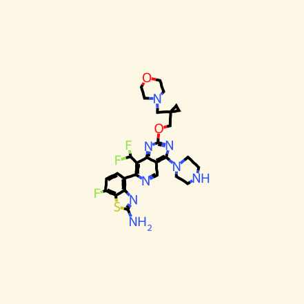 Nc1nc2c(-c3ncc4c(N5CCNCC5)nc(OCC5(CN6CCOCC6)CC5)nc4c3C(F)F)ccc(F)c2s1